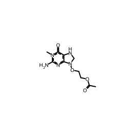 CC(=O)OCCON1CNc2c1nc(N)n(C)c2=O